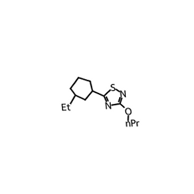 CCCOc1nsc(C2CCCC(CC)C2)n1